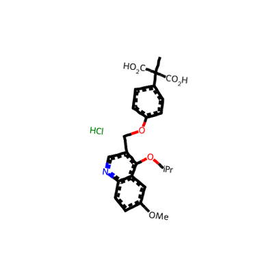 COc1ccc2ncc(COc3ccc(C(C)(C(=O)O)C(=O)O)cc3)c(OC(C)C)c2c1.Cl